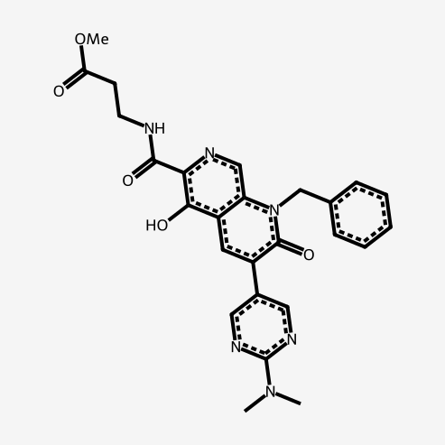 COC(=O)CCNC(=O)c1ncc2c(cc(-c3cnc(N(C)C)nc3)c(=O)n2Cc2ccccc2)c1O